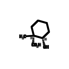 C[C@@]1(C(=O)O)CCCC[C@@H]1O